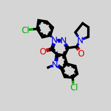 Cn1c2cc(Cl)ccc2c2c(C(=O)N3CCCC3)nn(-c3cccc(Cl)c3)c(=O)c21